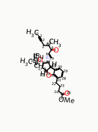 CC#CC[C@H](C)C(=O)/C=C/[C@H]1C(O[Si](C)(C)C(C)(C)C)C[C@@H]2Oc3c(CCCC(=O)OC)cccc3[C@@H]21